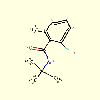 Cc1cccc(F)c1C(=O)NC(C)(C)C